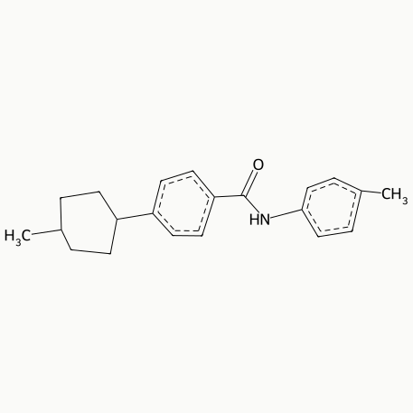 Cc1ccc(NC(=O)c2ccc(C3CCC(C)CC3)cc2)cc1